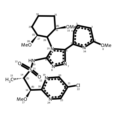 COc1cccc(-c2nnc(NS(=O)(=O)[C@@H](C)[C@H](OC)c3ncc(Cl)cn3)n2C2[C@@H](OC)CCC[C@H]2OC)n1